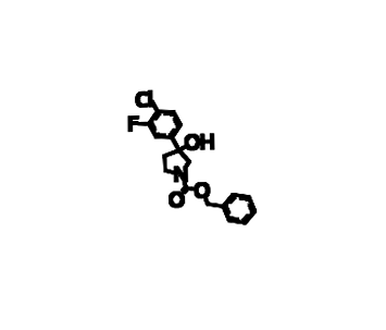 O=C(OCc1ccccc1)N1CCC(O)(c2ccc(Cl)c(F)c2)C1